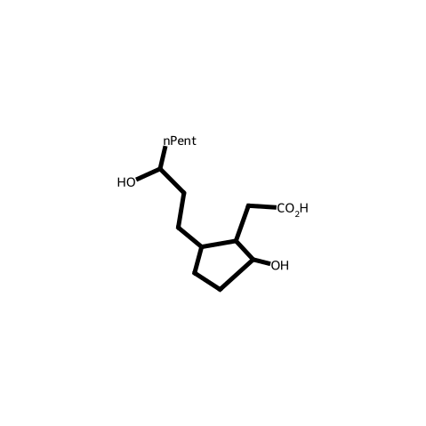 CCCCCC(O)CCC1CCC(O)C1CC(=O)O